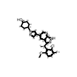 COc1ccc(F)c(Cl)c1[C@@H](C)c1n[nH]c2ncc(-c3cnn(C4CCC(O)CC4)c3)cc12